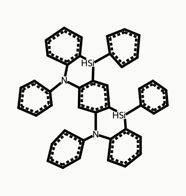 c1ccc(N2c3ccccc3[SiH](c3ccccc3)c3cc4c(cc32)N(c2ccccc2)c2ccccc2[SiH]4c2ccccc2)cc1